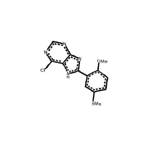 COc1ccc(SC)cc1-c1nc2ncnc(Cl)c2[nH]1